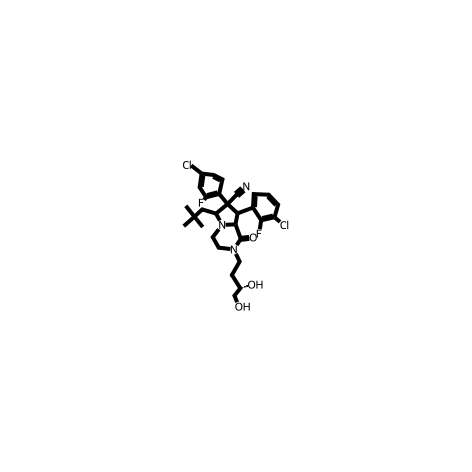 CC(C)(C)CC1N2CCN(CC[C@H](O)CO)C(=O)C2C(c2cccc(Cl)c2F)C1(C#N)c1ccc(Cl)cc1F